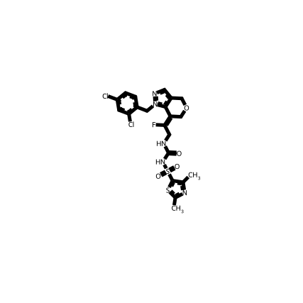 Cc1nc(C)c(S(=O)(=O)NC(=O)NCC(F)=C2COCc3cnn(Cc4ccc(Cl)cc4Cl)c32)s1